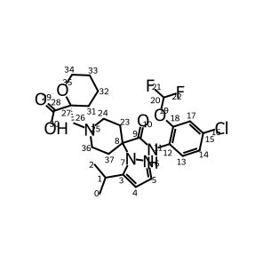 CC(C)c1ccnn1C1(C(=O)Nc2ccc(Cl)cc2OC(F)F)CCN(C[C@@]2(C(=O)O)CCCCO2)CC1